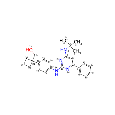 CC(C)(C)Nc1cc(-c2ccccc2)nc(Nc2ccc(C3(CO)CCC3)cc2)n1